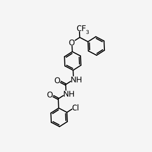 O=C(NC(=O)c1ccccc1Cl)Nc1ccc(OC(c2ccccc2)C(F)(F)F)cc1